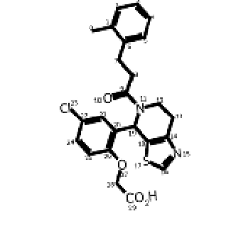 Cc1ccccc1CCC(=O)N1CCc2ncsc2C1c1cc(Cl)ccc1OCC(=O)O